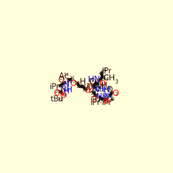 COC(=O)[C@H](CC(C)C)NC(=O)[C@@H](NC(=O)[C@H](COCC=CCOC[C@H](NC(=O)[C@@H](NC(=O)OC(C)(C)C)C(C)C)C(C)=O)NC(=O)C(C)(C)NC(=O)[C@@H](C)CC(C)C)C(C)C